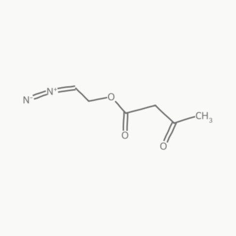 CC(=O)CC(=O)OCC=[N+]=[N-]